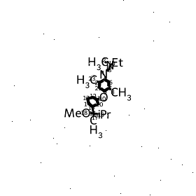 CCN(C)/C=N/c1cc(C)c(Oc2cccc(C(C)(OC)C(C)C)c2)cc1C